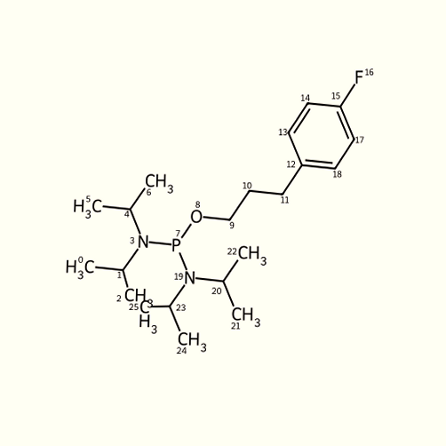 CC(C)N(C(C)C)P(OCCCc1ccc(F)cc1)N(C(C)C)C(C)C